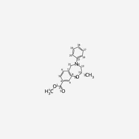 COC(=O)c1ccc2c(c1)O[C@@H](C)CN(c1ccccc1)C2